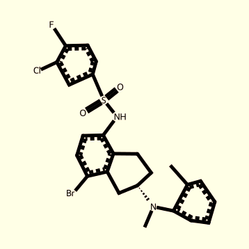 Cc1ccccc1N(C)[C@H]1CCc2c(NS(=O)(=O)c3ccc(F)c(Cl)c3)ccc(Br)c2C1